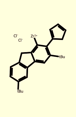 CC(C)(C)c1ccc2c(c1)-c1cc(C(C)(C)C)c(C3=CC=CC3)[c]([Zr+2])c1C2.[Cl-].[Cl-]